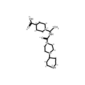 CC(NC(=O)N1CCN(C2CCNCC2)CC1)N1CCC(C(=O)O)CC1